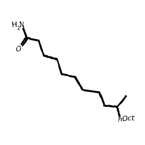 CCCCCCCCC(C)CCCCCCCCC(N)=O